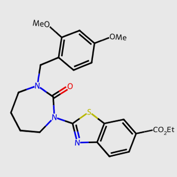 CCOC(=O)c1ccc2nc(N3CCCCN(Cc4ccc(OC)cc4OC)C3=O)sc2c1